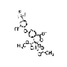 COC(C)C(=NOOC(C)=O)c1cc(Oc2ccc(C(F)(F)F)cc2Cl)ccc1[N+](=O)[O-]